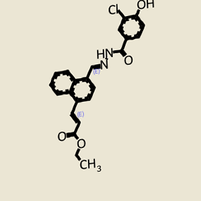 CCOC(=O)/C=C/c1ccc(/C=N/NC(=O)c2ccc(O)c(Cl)c2)c2ccccc12